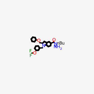 CCCCN(N)C(=O)c1ccc2c(c1)cc(COc1ccccc1)n2Cc1cccc(OC(F)F)c1